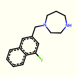 Fc1cc(CN2CCCNCC2)cc2ccccc12